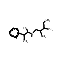 CCC(C)C(N)CNC(O)C(C)c1ccccc1